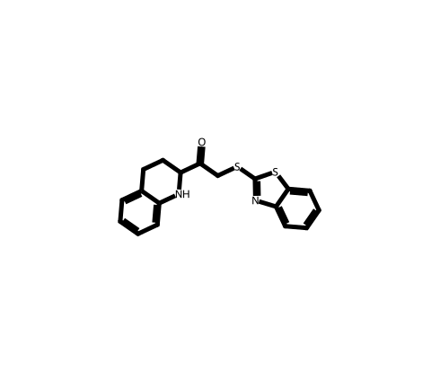 O=C(CSc1nc2ccccc2s1)C1CCc2ccccc2N1